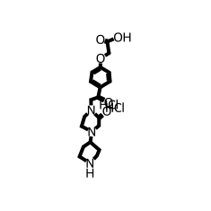 Cl.Cl.O=C(O)COc1ccc(C(=O)CN2CCN(C3CCNCC3)CC2=O)cc1